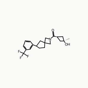 C[C@]1(O)C[C@@H](C(=O)N2CC3(CCC(c4cccc(C(F)(F)F)c4)C3)C2)C1